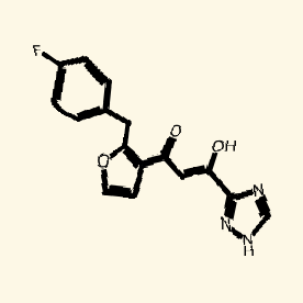 O=C(C=C(O)c1nc[nH]n1)c1ccoc1Cc1ccc(F)cc1